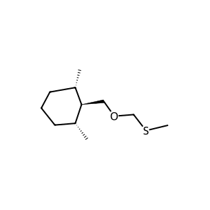 CSCOC[C@H]1[C@H](C)CCC[C@@H]1C